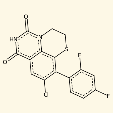 O=c1[nH]c(=O)n2c3c(c(-c4ccc(F)cc4F)c(Cl)cc13)SCC2